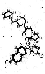 C[C@@H](C(=O)N1CCOC(CN2CCCC2)C1)N1CC[C@H](N(OC=O)S(=O)(=O)c2ccc3cc(Cl)ccc3c2)C1=O